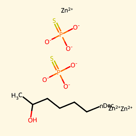 CCCCCCCCCCCCCCC(C)O.[O-]P([O-])([O-])=S.[O-]P([O-])([O-])=S.[Zn+2].[Zn+2].[Zn+2]